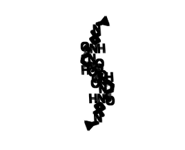 O=C(NC1CC2(C1)CN(CC1CC1)C2)[C@@H]1CC[C@@H]2CN1C(=O)N2OS(=O)(=O)ON1C(=O)N2C[C@H]1CC[C@H]2C(=O)NC1CC2(C1)CN(CC1CC1)C2